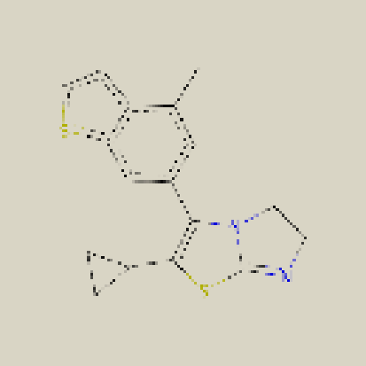 Cc1cc(C2=C(C3CC3)SC3=NCCN32)cc2sccc12